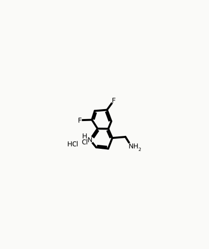 Cl.Cl.NCc1ccnc2c(F)cc(F)cc12